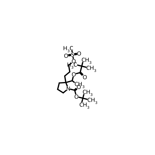 CC(OC(=O)C(C)(C)C)C1(CCCOS(C)(=O)=O)CCCN1C(=O)OC(C)(C)C